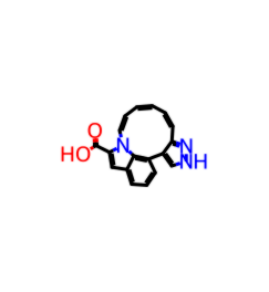 O=C(O)c1cc2cccc3c2n1\C=C/C=C\C=C/c1n[nH]cc1-3